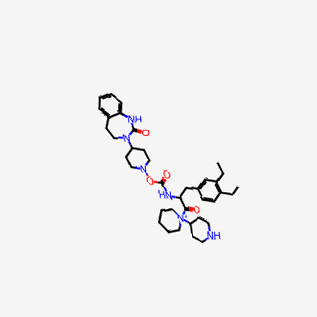 CCc1ccc(CC(NC(=O)ON2CCC(N3CCc4ccccc4NC3=O)CC2)C(=O)[N+]2(C3CCNCC3)CCCCC2)cc1CC